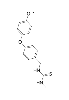 CNC(=S)NCc1ccc(Oc2ccc(OC)cc2)cc1